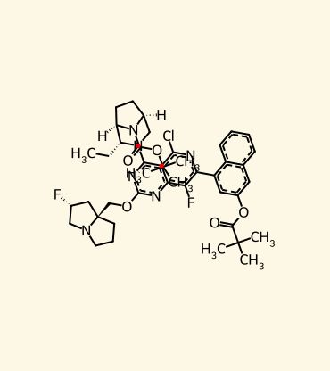 CC[C@@H]1[C@H]2CC[C@@H](CN1c1nc(OC[C@@]34CCCN3C[C@H](F)C4)nc3c(F)c(-c4cc(OC(=O)C(C)(C)C)cc5ccccc45)nc(Cl)c13)N2C(=O)OC(C)(C)C